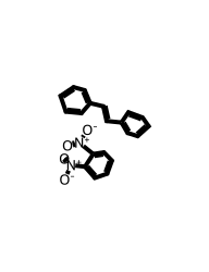 C(=Cc1ccccc1)c1ccccc1.O=[N+]([O-])c1ccccc1[N+](=O)[O-]